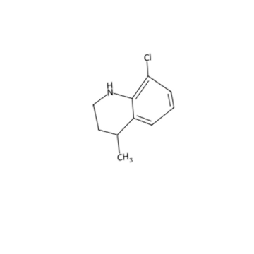 CC1CCNc2c(Cl)cccc21